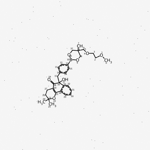 COCCOCC1(C)COB(c2ccc(CC3(O)C(=O)C4=C(OC(C)(C)CC4)c4ccccc43)cc2)OC1